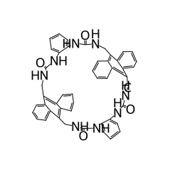 O=C1NCc2c3ccccc3c(c3ccccc23)CNC(=O)Nc2ccccc2NC(=O)NCc2c3ccccc3c(c3ccccc23)CNC(=O)Nc2ccccc2N1